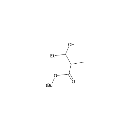 CCC(O)C(C)C(=O)OC(C)(C)C